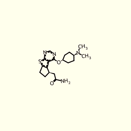 CN(C)[C@H]1CC[C@H](Oc2ncnc3sc4c(c23)[C@@H](CC(N)=O)CC4)CC1